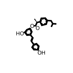 CC(C)Cc1ccc([C@H](C)C(=O)Oc2cc(O)cc(/C=C/c3ccc(O)cc3)c2)cc1